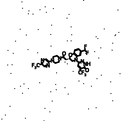 O=C(C[C@H]1CN(c2cc(C(F)(F)F)c(=O)[nH]n2)c2cc(C(F)F)ccc2O1)N1CCN(c2cnc(C(F)(F)F)cn2)CC1